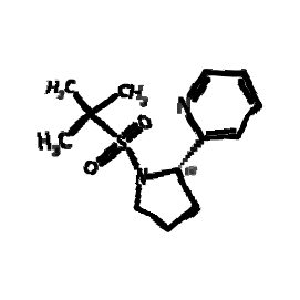 CC(C)(C)S(=O)(=O)N1CCC[C@H]1c1ccccn1